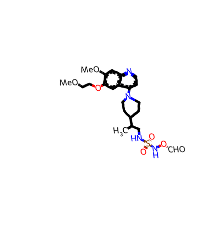 COCCOc1cc2c(N3CCC(C(C)CNS(=O)(=O)NOC=O)CC3)ccnc2cc1OC